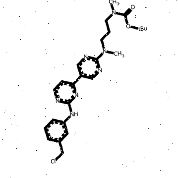 CN(CCCN(C)c1ncc(-c2ccnc(Nc3cccc(CCl)c3)n2)cn1)C(=O)OC(C)(C)C